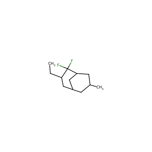 CCC1CC2CC(C)CC(C2)C1(F)F